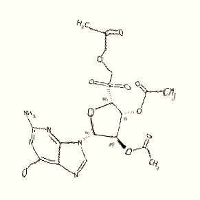 CC(=O)OCS(=O)(=O)[C@H]1O[C@@H](n2cnc3c(Cl)nc(N)nc32)[C@H](OC(C)=O)[C@H]1OC(C)=O